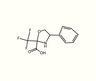 O=C(O)C1(C(F)(F)F)NC(c2ccccc2)CO1